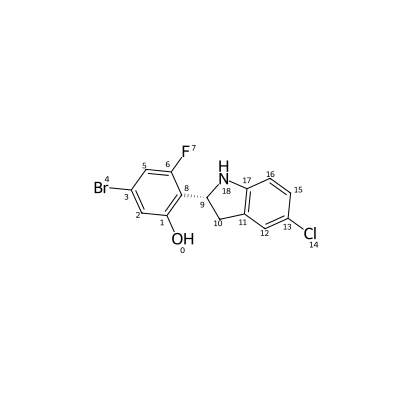 Oc1cc(Br)cc(F)c1[C@H]1Cc2cc(Cl)ccc2N1